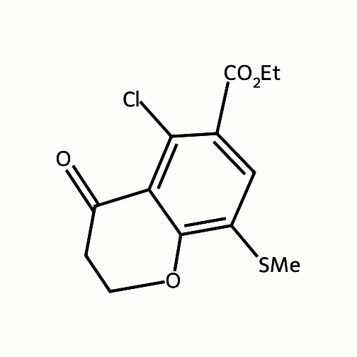 CCOC(=O)c1cc(SC)c2c(c1Cl)C(=O)CCO2